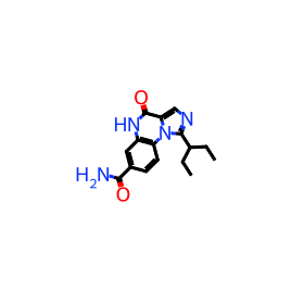 CCC(CC)c1ncc2c(=O)[nH]c3cc(C(N)=O)ccc3n12